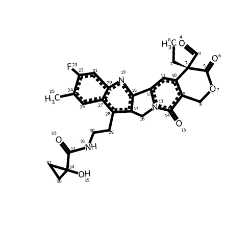 CC[C@@]1(C=O)C(=O)OCc2c1cc1n(c2=O)Cc2c-1nc1cc(F)c(C)cc1c2CCNC(=O)C1(O)CC1